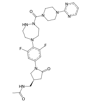 CC(=O)NC[C@@H]1CC(=O)N(c2cc(F)c(N3CCNN(C(=O)N4CCN(c5ncccn5)CC4)CC3)c(F)c2)C1